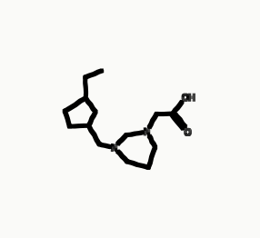 CCC1CCC(CN2CCCN(CC(=O)O)C2)C1